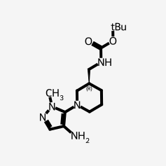 Cn1ncc(N)c1N1CCC[C@H](CNC(=O)OC(C)(C)C)C1